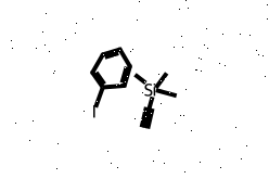 C#C[Si](C)(C)C.Ic1ccccc1